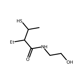 CCC(C(=O)NCCO)C(C)S